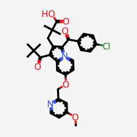 COc1ccnc(COc2ccn3c(C(=O)c4ccc(Cl)cc4)c(CC(C)(C)C(=O)O)c(C(=O)C(C)(C)C)c3c2)c1